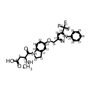 CNC(CC(=O)O)C(=O)N1CCc2cc(OCc3cc(C(F)(F)F)n(-c4ccccc4)n3)ccc21